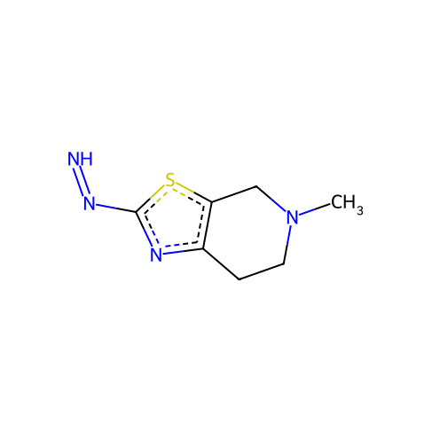 CN1CCc2nc(N=N)sc2C1